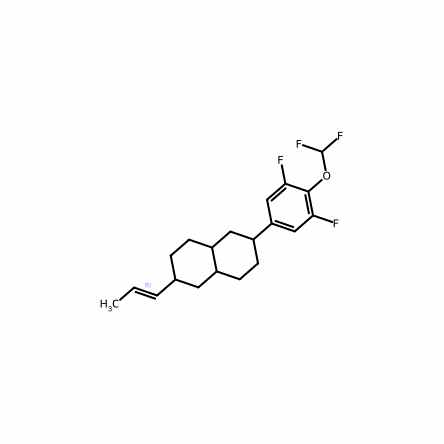 C/C=C/C1CCC2CC(c3cc(F)c(OC(F)F)c(F)c3)CCC2C1